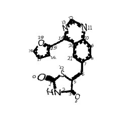 O=C1NC(=O)C(=Cc2ccc3ncnc(-c4ccco4)c3c2)S1